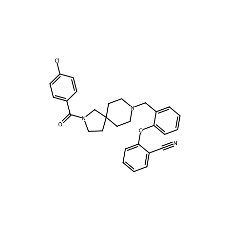 N#Cc1ccccc1Oc1ccccc1CN1CCC2(CC1)CCN(C(=O)c1ccc(Cl)cc1)C2